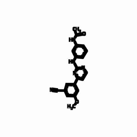 COc1cc(C#N)cc(-c2ccnc(Nc3cccc(NC(C)=O)c3)n2)c1